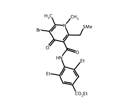 CCOC(=O)c1cc(CC)c(NC(=O)c2c(CSC)n(C)c(C)c(Br)c2=O)c(CC)c1